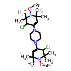 CCCON1C(C)(C)C=C(N2CCN(C3=CC(C)(C)N(OCCC)C(C)(C)C3Cl)CC2)C(Cl)C1(C)C